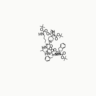 COC(=O)C1(NC(=O)OC(C)(C)C)CCN(C(=O)[C@@H](CCCCNC(=O)OC(C)(C)C)NC(=O)[C@@H](CC(C)C)NC(=O)[C@@H](Cc2ccccc2)NC(=O)C2(NC(=O)OC(C)(C)C)Cc3ccccc3C2)CC1